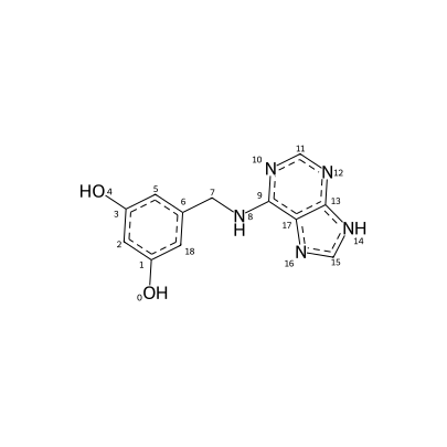 Oc1cc(O)cc(CNc2ncnc3[nH]cnc23)c1